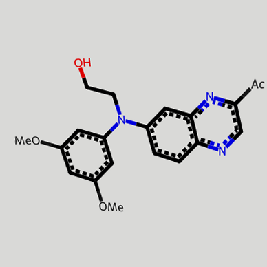 COc1cc(OC)cc(N(CCO)c2ccc3ncc(C(C)=O)nc3c2)c1